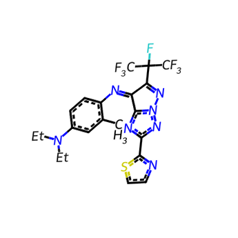 CCN(CC)c1ccc(/N=C2/C(C(F)(C(F)(F)F)C(F)(F)F)=Nn3nc(-c4nccs4)nc32)c(C)c1